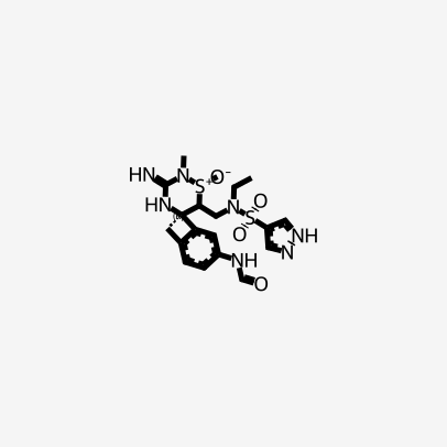 CCN(CC1[S+]([O-])N(C)C(=N)N[C@@]12Cc1ccc(NC=O)cc12)S(=O)(=O)c1cn[nH]c1